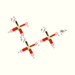 O=S(=O)([O-])C(F)(F)F.O=S(=O)([O-])C(F)(F)F.O=S(=O)([O-])C(F)(F)F.[Rh+3]